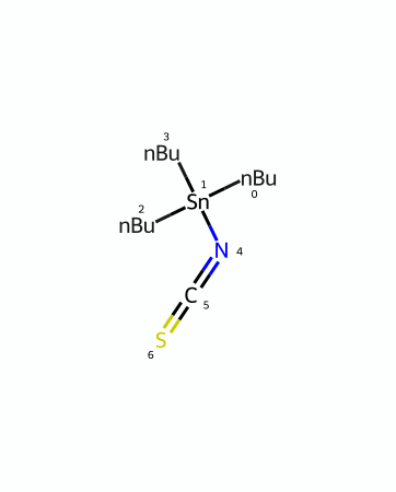 CCC[CH2][Sn]([CH2]CCC)([CH2]CCC)[N]=C=S